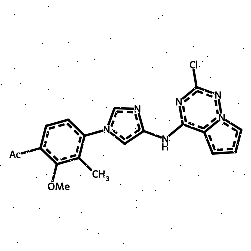 COc1c(C(C)=O)ccc(-n2cnc(Nc3nc(Cl)nn4cccc34)c2)c1C